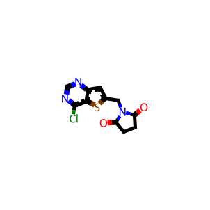 O=C1CCC(=O)N1Cc1cc2ncnc(Cl)c2s1